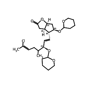 CC(Cl)=CCC(C)[C@@H](C=C[C@@H]1[C@H]2CC(=O)O[C@H]2C[C@H]1OC1CCCCO1)OC1CCCCO1